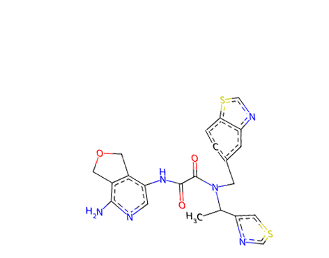 CC(c1cscn1)N(Cc1ccc2scnc2c1)C(=O)C(=O)Nc1cnc(N)c2c1COC2